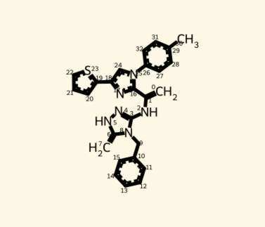 C=C(NC1=NNC(=C)N1Cc1ccccc1)c1nc(-c2cccs2)cn1-c1ccc(C)cc1